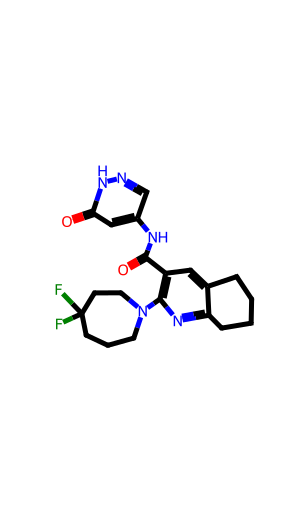 O=C(Nc1cn[nH]c(=O)c1)c1cc2c(nc1N1CCCC(F)(F)CC1)CCCC2